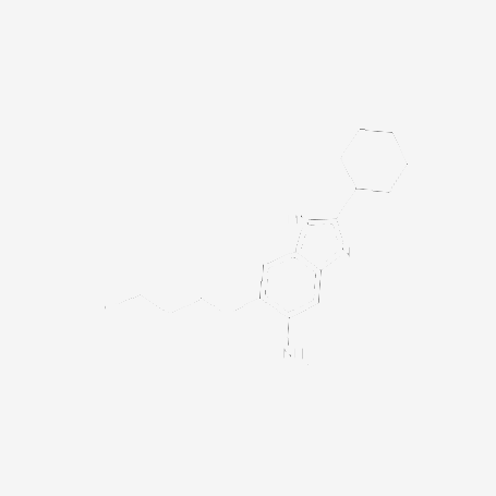 CCCCSc1cc2[nH]c(C3CCCCC3)nc2cc1N